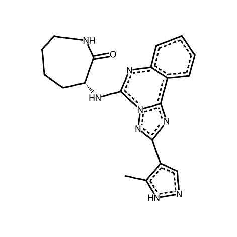 Cc1[nH]ncc1-c1nc2c3ccccc3nc(N[C@@H]3CCCCNC3=O)n2n1